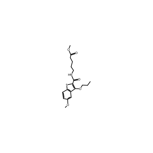 CCCOc1c(C(=O)NCCCCC(=O)OC)sc2ccc(OC)cc12